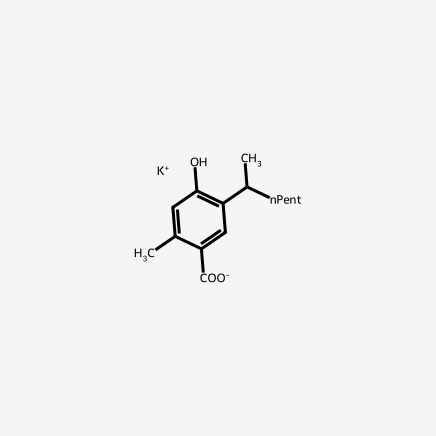 CCCCCC(C)c1cc(C(=O)[O-])c(C)cc1O.[K+]